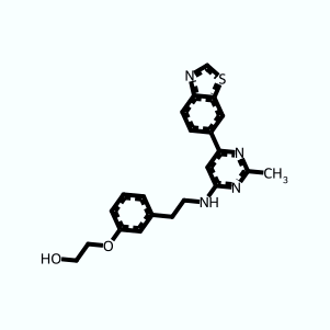 Cc1nc(NCCc2cccc(OCCO)c2)cc(-c2ccc3ncsc3c2)n1